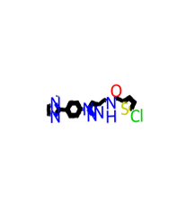 CN1CCN=C1c1ccc(-n2cc(CNC(=O)c3ccc(Cl)s3)nn2)cc1